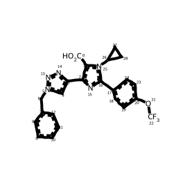 O=C(O)c1c(-c2cn(Cc3ccccc3)nn2)nc(-c2ccc(OC(F)(F)F)cc2)n1C1CC1